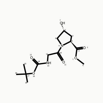 COC(=O)[C@@H]1C[C@@H](O)CN1C(=O)CNC(=O)OC(C)(C)C